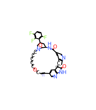 O=C1NC2CC(c3c(F)ccc(F)c3F)CN(CCCCCOC/C=C/c3cnc4c(c3)[C@@]3(Cc5cc1cnc5C3)C(=O)N4)C2=O